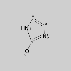 [O-]C1=[N+]C=CN1